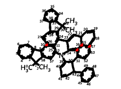 CC1(C)c2ccccc2-c2ccc(N(C3=CC4C=CC=CC4C=C3c3cccc4c3C(C)(C)c3ccccc3-4)C3=CC=CC(c4ccccc4)C3c3ccccc3)cc21